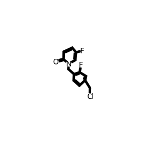 O=c1ccc(F)cn1Cc1ccc(CCl)cc1F